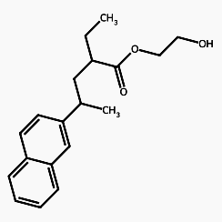 CCC(CC(C)c1ccc2ccccc2c1)C(=O)OCCO